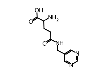 N[C@@H](CCC(=O)NCc1cncnc1)C(=O)O